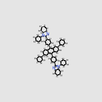 C1=CC2N=C(c3ccc(-c4c5ccc(-c6ccccc6)cc5c(-c5ccc(-c6nc7ccccc7n6-c6ccccc6)cc5)c5ccc(-c6ccccc6)cc45)cc3)N(c3ccccc3)C2C=C1